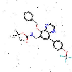 CC(C)(C)OC(=O)NCc1cc(-c2ccc(OC(F)(F)F)cc2)c2nccnc2c1OCc1ccccc1